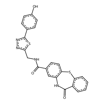 O=C(NCc1nnc(-c2ccc(O)cc2)s1)c1ccc2c(c1)NC(=O)c1ccccc1S2